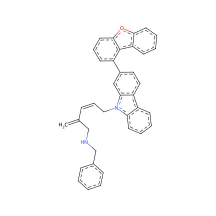 C=C(/C=C\Cn1c2ccccc2c2ccc(-c3cccc4oc5ccccc5c34)cc21)CNCc1ccccc1